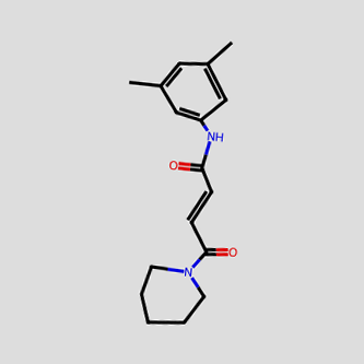 Cc1cc(C)cc(NC(=O)C=CC(=O)N2CCCCC2)c1